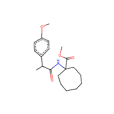 COC(=O)C1(NC(=O)C(C)c2ccc(OC)cc2)CCCCCCC1